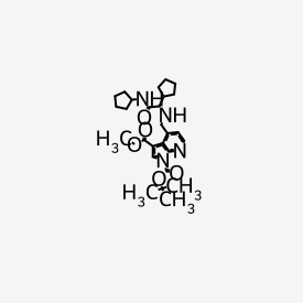 COC(=O)c1cn(C(=O)OC(C)(C)C)c2nccc(CNC(C(=O)NC3CCCC3)C3CCCC3)c12